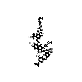 N#CNc1nc(Cl)cc(Nc2ccc(S(=O)(=O)O)c(/N=N/c3c(SOOO)cc4c(/N=N/c5ccc(S(=O)(=O)CCOSOOO)cc5S(=O)(=O)O)c(N)ccc4c3O)c2)n1